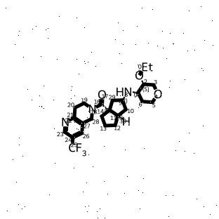 CCO[C@@H]1COCC[C@@H]1N[C@@H]1C[C@H]2CCC[C@@]2(C(=O)N2CCc3ncc(C(F)(F)F)cc3C2)C1